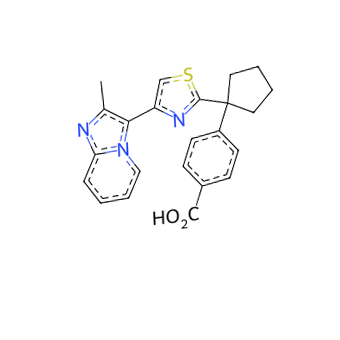 Cc1nc2ccccn2c1-c1csc(C2(c3ccc(C(=O)O)cc3)CCCC2)n1